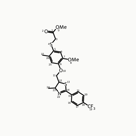 COC(=O)CSc1cc(OC)c(OCC2SC(c3ccc(C(F)(F)F)cc3)=NC2C)cc1C